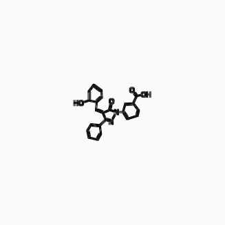 O=C(O)c1cccc(N2N=C(c3ccccc3)C(=Cc3ccccc3O)C2=O)c1